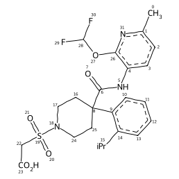 Cc1ccc(NC(=O)C2(c3ccccc3C(C)C)CCN(S(=O)(=O)CC(=O)O)CC2)c(OC(F)F)n1